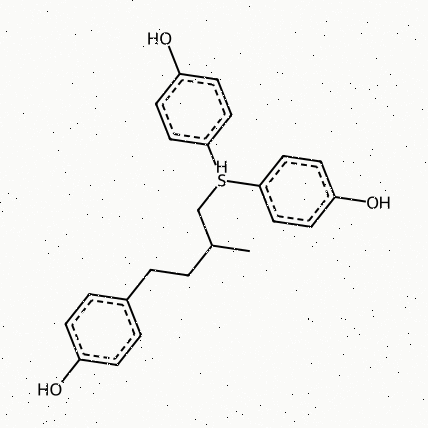 CC(CCc1ccc(O)cc1)C[SH](c1ccc(O)cc1)c1ccc(O)cc1